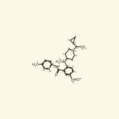 Cc1ccc(NC(=O)c2cc(Cl)ccc2N(C)C2CCN(C(C)C3CC3)CC2)nc1.Cl